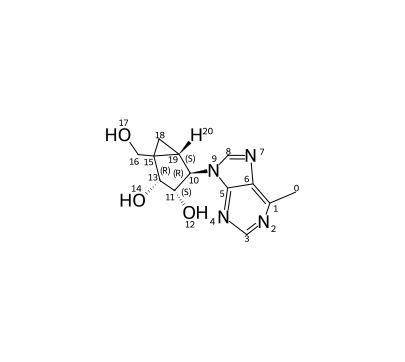 Cc1ncnc2c1ncn2[C@H]1[C@H](O)[C@H](O)C2(CO)C[C@H]12